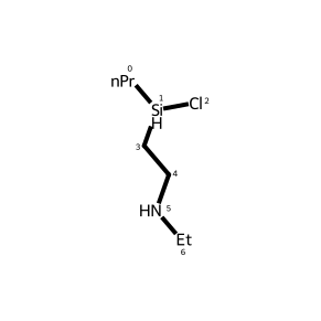 CCC[SiH](Cl)CCNCC